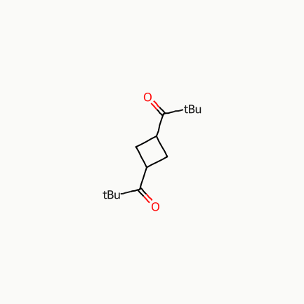 CC(C)(C)C(=O)C1CC(C(=O)C(C)(C)C)C1